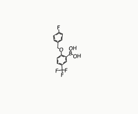 OB(O)c1cc(C(F)(F)F)ccc1OCc1ccc(F)cc1